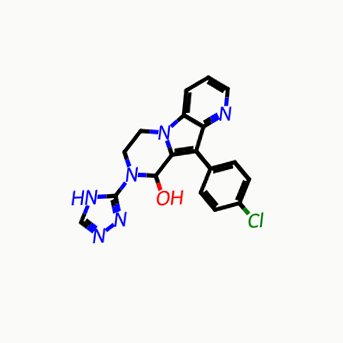 OC1c2c(-c3ccc(Cl)cc3)c3ncccc3n2CCN1c1nnc[nH]1